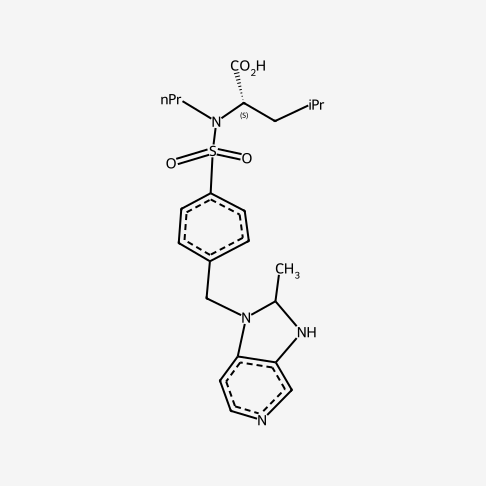 CCCN([C@@H](CC(C)C)C(=O)O)S(=O)(=O)c1ccc(CN2c3ccncc3NC2C)cc1